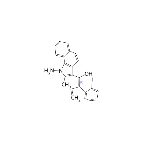 C=C/C(=C(/O)c1c(C)n(N)c2c1ccc1ccccc12)c1ccccc1I